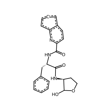 O=C(N[C@@H](Cc1ccccc1)C(=O)N[C@H]1CCOC1O)c1ccc2ccccc2n1